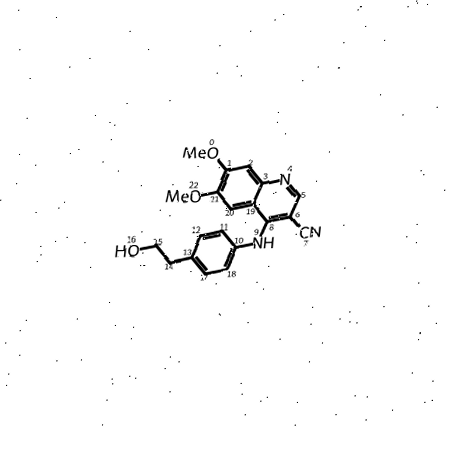 COc1cc2ncc(C#N)c(Nc3ccc(CCO)cc3)c2cc1OC